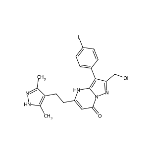 Cc1n[nH]c(C)c1CCc1cc(=O)n2nc(CO)c(-c3ccc(I)cc3)c2[nH]1